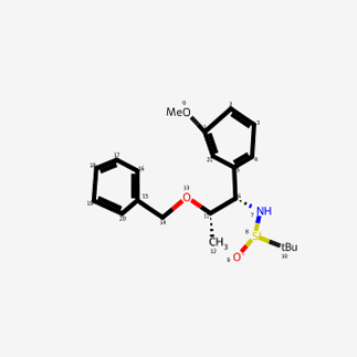 COc1cccc([C@H](N[S+]([O-])C(C)(C)C)[C@H](C)OCc2ccccc2)c1